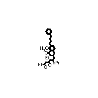 CCCC(CC1CC(=O)c2c(ccc(CCCCc3ccccc3)c2C)C1)C(CC)C(=O)CC(=O)CC